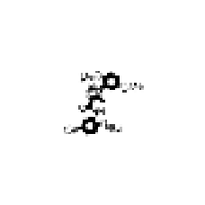 CCC(C)Oc1ccc(C(C)(C)C)cc1NC(=O)c1nnn(-c2cc(OC)ccc2OC)c1C